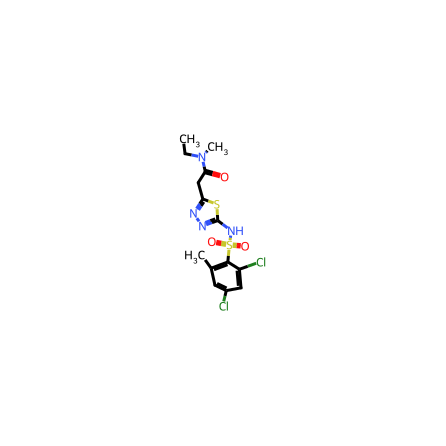 CCN(C)C(=O)Cc1nnc(NS(=O)(=O)c2c(C)cc(Cl)cc2Cl)s1